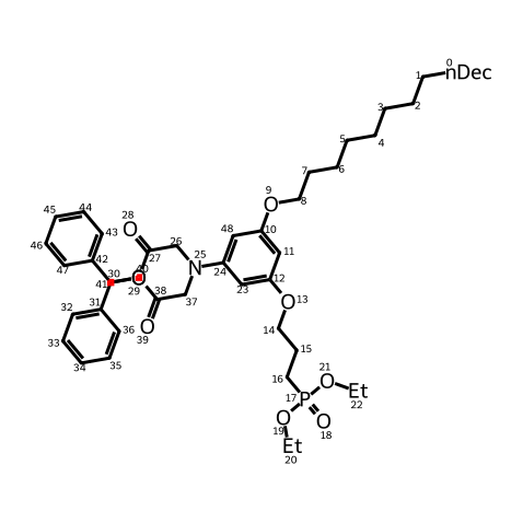 CCCCCCCCCCCCCCCCCCOc1cc(OCCCP(=O)(OCC)OCC)cc(N(CC(=O)OCc2ccccc2)CC(=O)OCc2ccccc2)c1